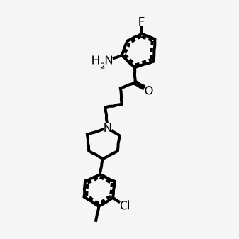 Cc1ccc(C2CCN(CCCC(=O)c3ccc(F)cc3N)CC2)cc1Cl